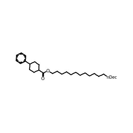 CCCCCCCCCCCCCCCCCCCCCCOC(=O)C1CCC(c2ccccc2)CC1